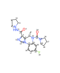 CC1c2c(C(=O)NN3CCCC3)ncn2-c2ccc(F)cc2N1C(=O)N1CCCC1